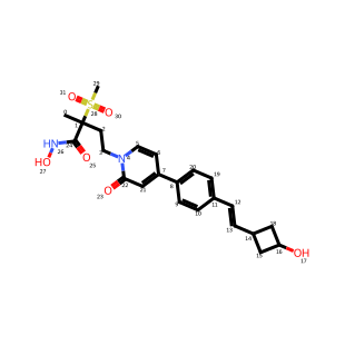 CC(CCn1ccc(-c2ccc(C=CC3CC(O)C3)cc2)cc1=O)(C(=O)NO)S(C)(=O)=O